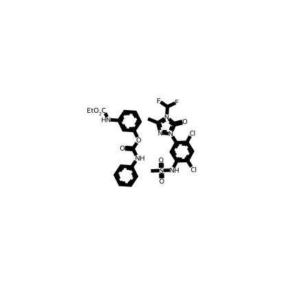 CCOC(=O)Nc1cccc(OC(=O)Nc2ccccc2)c1.Cc1nn(-c2cc(NS(C)(=O)=O)c(Cl)cc2Cl)c(=O)n1C(F)F